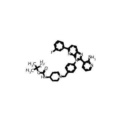 CC(C)(C)OC(=O)NC1CCN(Cc2ccc(-n3c(-c4cccnc4N)nc4ccc(-c5cccc(F)c5)nc43)cc2)CC1